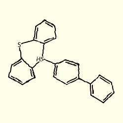 c1ccc(-c2ccc([SH]3c4ccccc4Sc4ccccc43)cc2)cc1